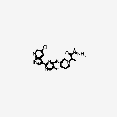 CC(C(=O)N(C)N)N1CCC[C@H](Nc2nc(-c3c[nH]c4c3=CC(Cl)CN=4)ncc2F)C1